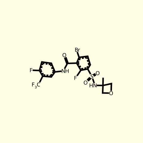 CC1(NS(=O)(=O)c2ccc(Br)c(C(=O)Nc3ccc(F)c(C(F)(F)F)c3)c2F)COC1